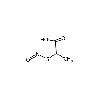 CC(SN=O)C(=O)O